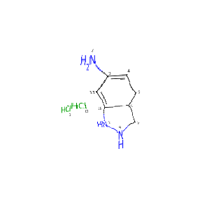 Cl.Cl.NC1=CCC2CNNC2=C1